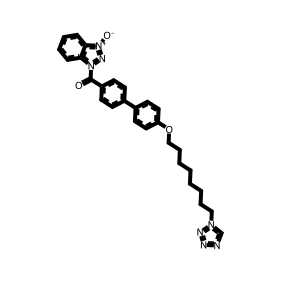 O=C(c1ccc(-c2ccc(OCCCCCCCCn3cnnn3)cc2)cc1)n1n[n+]([O-])c2ccccc21